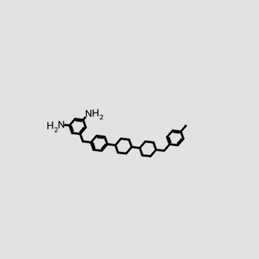 Cc1ccc(CC2CCC(C3CCC(c4ccc(Cc5cc(N)cc(N)c5)cc4)CC3)CC2)cc1